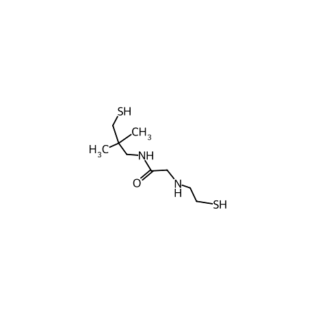 CC(C)(CS)CNC(=O)CNCCS